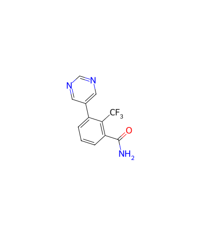 NC(=O)c1cccc(-c2cncnc2)c1C(F)(F)F